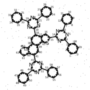 c1ccc(-c2nc(-c3ccccc3)nc(-c3cc4c(-c5nc(-c6ccccc6)nc(-c6ccccc6)n5)cc5c(cc(-c6nc(-c7ccccc7)nc(-c7ccccc7)n6)c6ccsc65)c4s3)n2)cc1